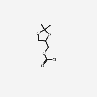 CC1(C)OCC(COC(=O)Cl)O1